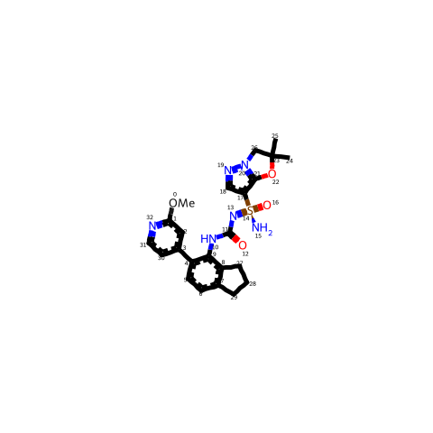 COc1cc(-c2ccc3c(c2NC(=O)N=[S@@](N)(=O)c2cnn4c2OC(C)(C)C4)CCC3)ccn1